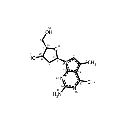 Cc1cn([C@H]2C[C@@H](O)[C@@H](CO)O2)c2nc(N)nc(Cl)c12